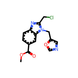 COC(=O)c1ccc2nc(CCl)n(Cc3cnco3)c2c1